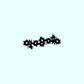 CC(C)(C)n1c(-c2ccc(-c3cccc4c(-c5ccc(-c6nc7ccccc7n6C(C)(C)C)cc5)cccc34)cc2)nc2ccccc21